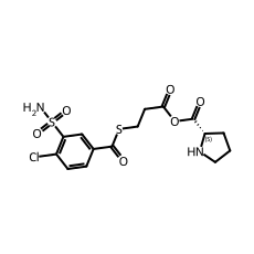 NS(=O)(=O)c1cc(C(=O)SCCC(=O)OC(=O)[C@@H]2CCCN2)ccc1Cl